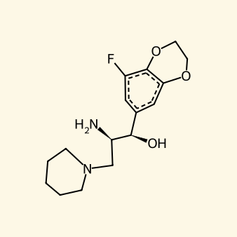 N[C@H](CN1CCCCC1)[C@H](O)c1cc(F)c2c(c1)OCCO2